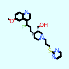 COc1ccc2nccc(C(F)CC[C@@H]3CCN(CCCSc4ncccn4)C[C@@H]3CO)c2c1